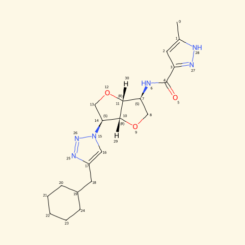 Cc1cc(C(=O)N[C@H]2CO[C@H]3[C@@H]2OC[C@@H]3n2cc(CC3CCCCC3)nn2)n[nH]1